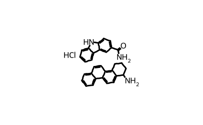 Cl.NC(=O)c1ccc2[nH]c3ccccc3c2c1.NC1CCCc2c1ccc1c2ccc2ccccc21